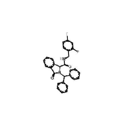 O=C(NCc1ccc(F)cc1F)C1c2ccccc2C(=O)N1C(c1ccccc1)c1ccccc1